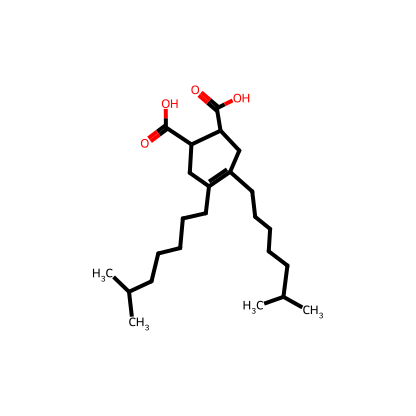 CC(C)CCCCCC1=C(CCCCCC(C)C)CC(C(=O)O)C(C(=O)O)C1